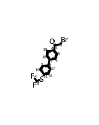 O=C(CBr)c1ccc(-c2ccc(SC(F)F)cc2)cc1